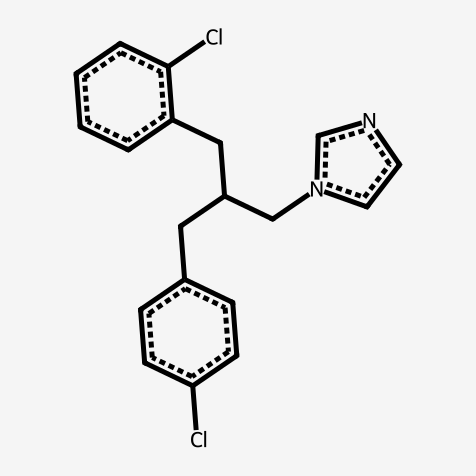 Clc1ccc(CC(Cc2ccccc2Cl)Cn2ccnc2)cc1